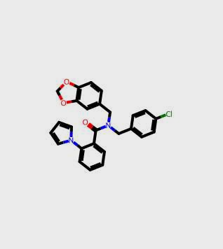 O=C(c1ccccc1-n1cccc1)N(Cc1ccc(Cl)cc1)Cc1ccc2c(c1)OCO2